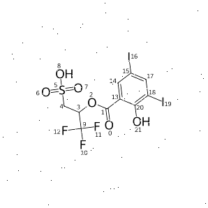 O=C(OC(CS(=O)(=O)O)C(F)(F)F)c1cc(I)cc(I)c1O